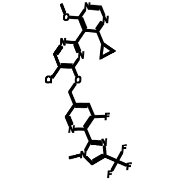 COc1ncnc(C2CC2)c1-c1ncc(Cl)c(OCc2cnc(-c3nc(C(F)(F)F)cn3C)c(F)c2)n1